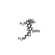 CO[C@@H](Cc1ccc2c(c1)S(O)(O)N=C2C)C(=O)NC/C=C/CN